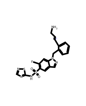 NC/C=C/c1ccccc1Cn1ncc2cc(S(=O)(=O)Nc3ncns3)c(F)cc21